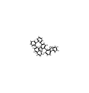 c1ccc2c(c1)-c1ccccc1-c1ccc3cccnc3c1-c1cc(-c3cccc4c3oc3ccccc34)ccc1-2